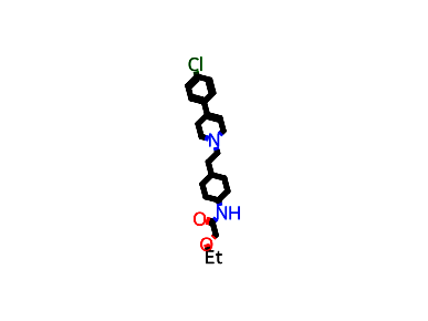 CCOCC(=O)NC1CCC(CCN2CC=C(c3ccc(Cl)cc3)CC2)CC1